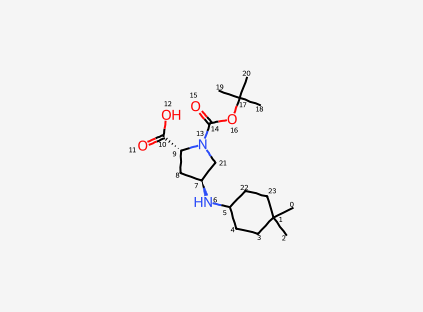 CC1(C)CCC(N[C@H]2C[C@H](C(=O)O)N(C(=O)OC(C)(C)C)C2)CC1